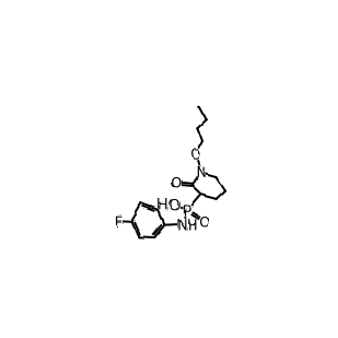 CCCCON1CCCC(P(=O)(O)Nc2ccc(F)cc2)C1=O